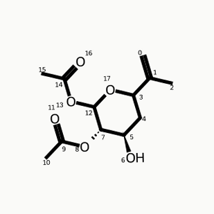 C=C(C)C1C[C@@H](O)[C@H](OC(C)=O)C(OC(C)=O)O1